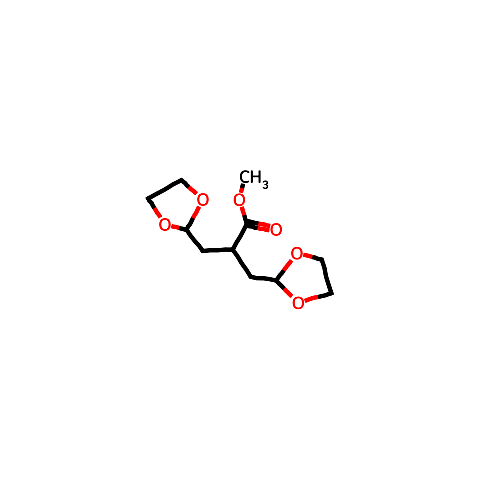 COC(=O)C(CC1OCCO1)CC1OCCO1